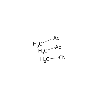 CC#N.CC(C)=O.CC(C)=O